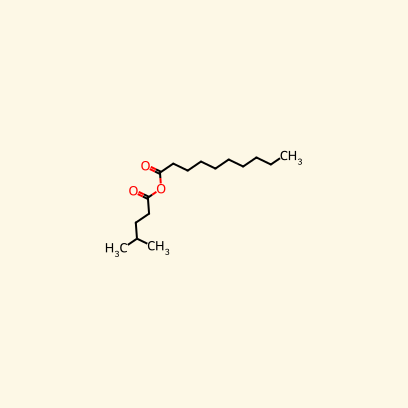 CCCCCCCCCC(=O)OC(=O)CCC(C)C